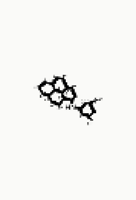 Fc1cc(F)cc(Nc2ccc3ccc4cccc5ccc2c3c45)c1